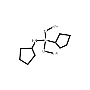 CCCO[Si](NC1CCCC1)(OCCC)C1CCCC1